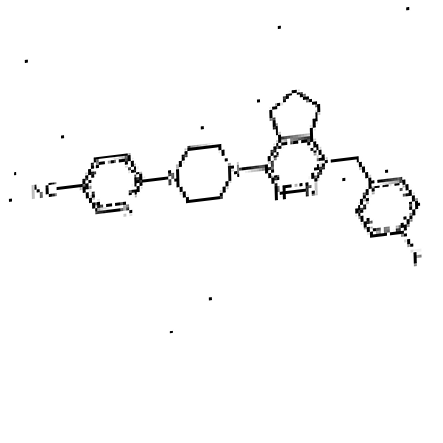 N#Cc1ccc(N2CCN(c3nnc(Cc4ccc(F)cc4)c4c3CCC4)CC2)nc1